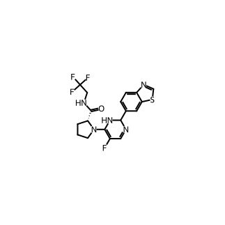 O=C(NCC(F)(F)F)[C@H]1CCCN1C1=C(F)C=NC(c2ccc3ncsc3c2)N1